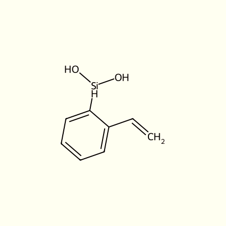 C=Cc1ccccc1[SiH](O)O